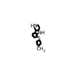 Cc1ccc(Sc2cccc3c4c([nH]c23)CCNC4)cc1